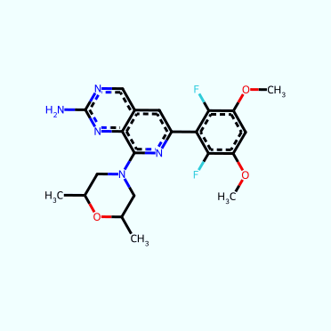 COc1cc(OC)c(F)c(-c2cc3cnc(N)nc3c(N3CC(C)OC(C)C3)n2)c1F